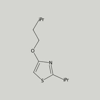 CC(C)CCOc1csc(C(C)C)n1